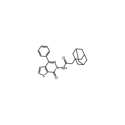 O=C(CC12CC3CC(CC(C3)C1)C2)Nn1nc(-c2ccccc2)c2ccsc2c1=O